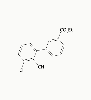 CCOC(=O)c1cccc(-c2cccc(Cl)c2C#N)c1